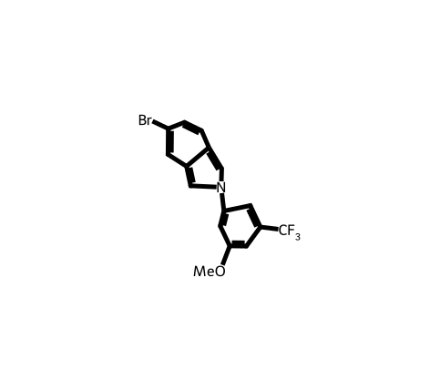 COc1cc(-n2cc3ccc(Br)cc3c2)cc(C(F)(F)F)c1